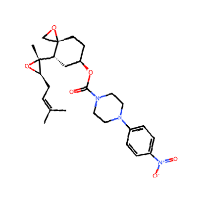 CC(C)=CC[C@H]1O[C@]1(C)[C@H]1C[C@H](OC(=O)N2CCN(c3ccc([N+](=O)[O-])cc3)CC2)CC[C@]12CO2